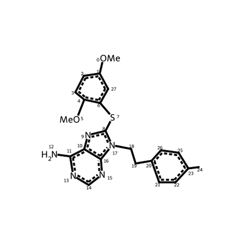 COc1ccc(OC)c(Sc2nc3c(N)ncnc3n2CCc2ccc(C)cc2)c1